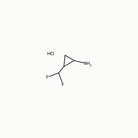 Cl.NC1CC1C(F)F